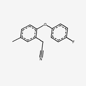 Cc1ccc(Oc2ccc(F)cc2)c(CC#N)c1